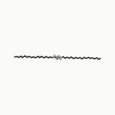 CCCCCCCCCCCCCCCCCCCSSSSCCCCCCCCCCCCCCCCCCC